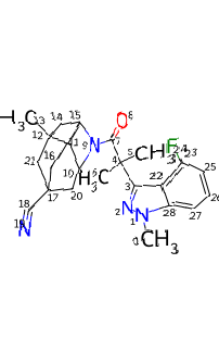 Cn1nc(C(C)(C)C(=O)N2C3CC4(C)CC2CC(C#N)(C3)C4)c2c(F)cccc21